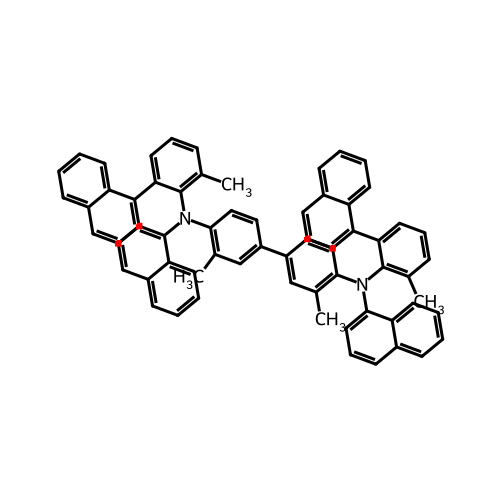 Cc1cc(-c2ccc(N(c3c(C)cccc3-c3cccc4ccccc34)c3cccc4ccccc34)c(C)c2)ccc1N(c1c(C)cccc1-c1cccc2ccccc12)c1cccc2ccccc12